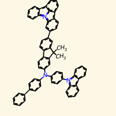 CC1(C)c2cc(-c3ccc4c5cccc6c7ccccc7n(c4c3)c65)ccc2-c2ccc(N(c3ccc(-c4ccccc4)cc3)c3ccc(-n4c5ccccc5c5ccccc54)cc3)cc21